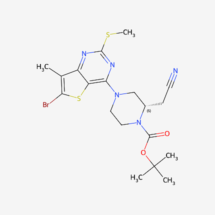 CSc1nc(N2CCN(C(=O)OC(C)(C)C)[C@@H](CC#N)C2)c2sc(Br)c(C)c2n1